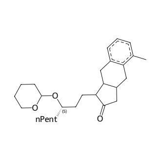 CCCCC[C@@H](CCC1C(=O)CC2Cc3c(C)cccc3CC21)OC1CCCCO1